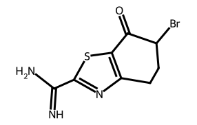 N=C(N)c1nc2c(s1)C(=O)C(Br)CC2